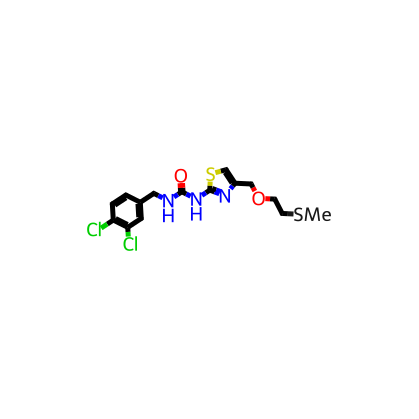 CSCCOCc1csc(NC(=O)NCc2ccc(Cl)c(Cl)c2)n1